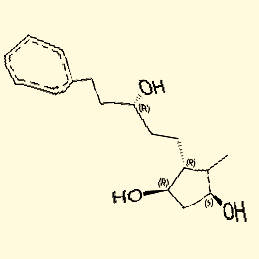 CC1[C@@H](CC[C@@H](O)CCc2ccccc2)[C@H](O)C[C@@H]1O